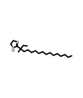 CCCCCCCCCCCCCCC(C)(CC)C1=NCCN1